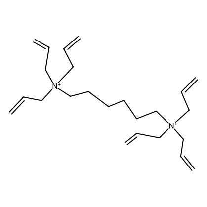 C=CC[N+](CC=C)(CC=C)CCCCCC[N+](CC=C)(CC=C)CC=C